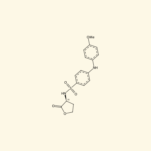 COc1ccc(Nc2ccc(S(=O)(=O)N[C@H]3CCOC3=O)cc2)cc1